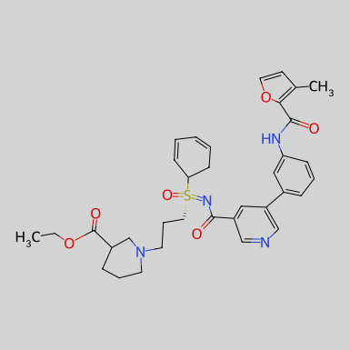 CCOC(=O)C1CCCN(CCC[S@@](=O)(=NC(=O)c2cncc(-c3cccc(NC(=O)c4occc4C)c3)c2)C2C=CC=CC2)C1